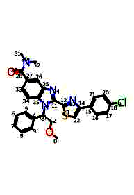 COC[C@@H](c1ccccc1)n1c(-c2nc(-c3ccc(Cl)cc3)cs2)nc2cc(C(=O)N(C)C)ccc21